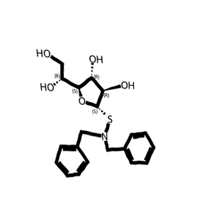 OC[C@@H](O)[C@@H]1O[C@@H](SN(Cc2ccccc2)Cc2ccccc2)[C@H](O)[C@H]1O